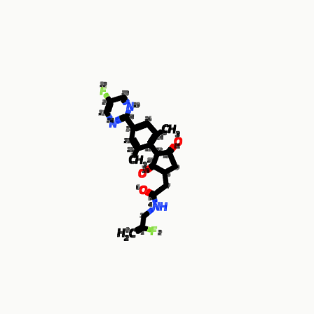 C=C(F)CNC(=O)CC1CC(=O)C(c2c(C)cc(-c3ncc(F)cn3)cc2C)C1=O